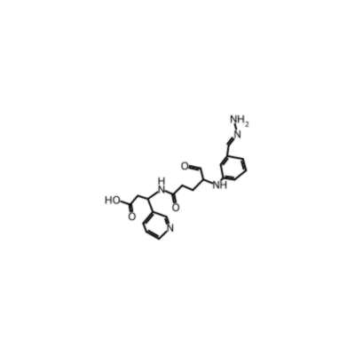 NN=Cc1cccc(NC(C=O)CCC(=O)NC(CC(=O)O)c2cccnc2)c1